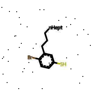 CCCCCCCCCCc1cc(S)ccc1Br